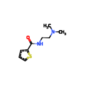 CN(C)CCNC(=O)c1cccs1